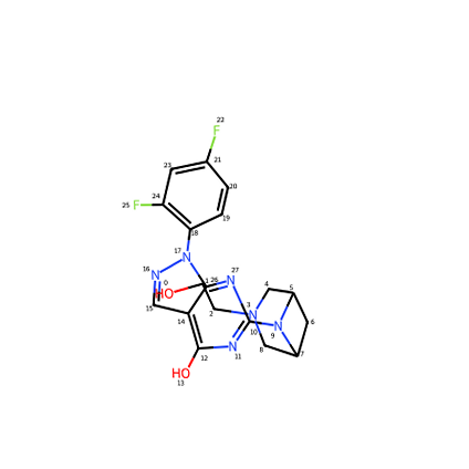 OCCN1CC2CC(C1)N2c1nc(O)c2cnn(-c3ccc(F)cc3F)c2n1